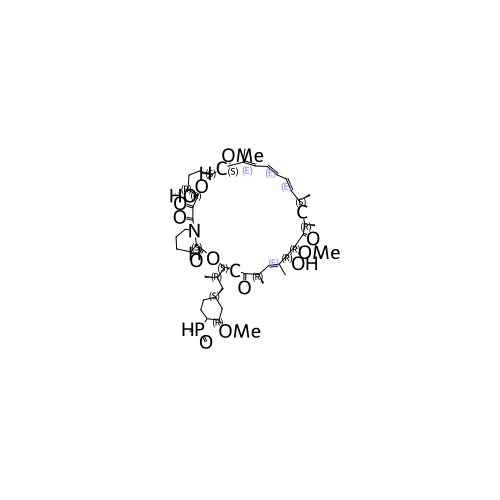 CO[C@H]1C[C@@H]2CC[C@@H](C)[C@@](O)(O2)C(=O)C(=O)N2CCCC[C@H]2C(=O)O[C@H]([C@H](C)C[C@@H]2CCC([PH](C)=O)[C@H](OC)C2)CC(=O)[C@H](C)/C=C(\C)[C@@H](O)[C@@H](OC)C(=O)[C@H](C)C[C@H](C)/C=C/C=C/C=C/1C